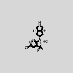 Cl.FC(F)(F)c1cc(Cl)nnc1N[C@H]1C[C@H]2CNC[C@H]2C1